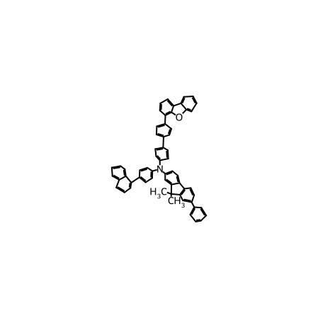 CC1(C)c2cc(-c3ccccc3)ccc2-c2ccc(N(c3ccc(-c4ccc(-c5cccc6c5oc5ccccc56)cc4)cc3)c3ccc(-c4cccc5ccccc45)cc3)cc21